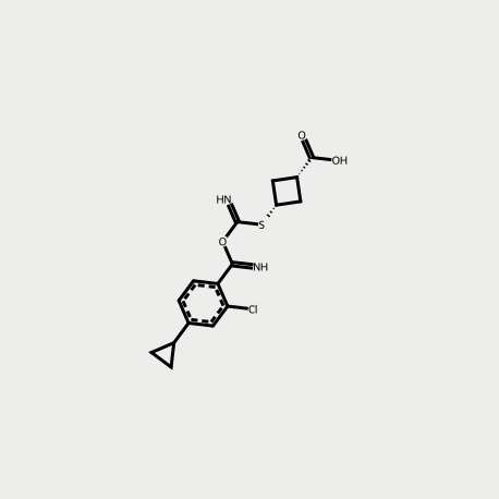 N=C(OC(=N)c1ccc(C2CC2)cc1Cl)S[C@H]1C[C@@H](C(=O)O)C1